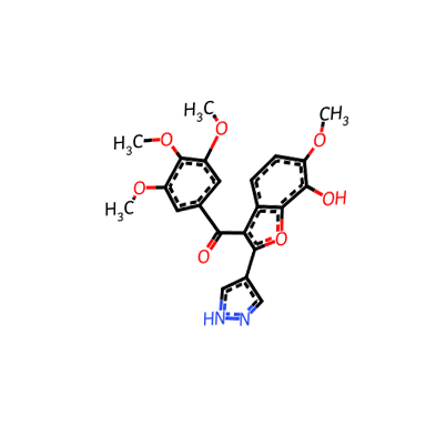 COc1cc(C(=O)c2c(-c3cn[nH]c3)oc3c(O)c(OC)ccc23)cc(OC)c1OC